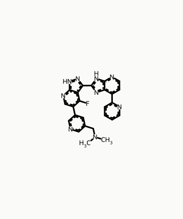 CN(C)Cc1cncc(-c2cnc3[nH]nc(-c4nc5c(-c6ccccn6)ccnc5[nH]4)c3c2F)c1